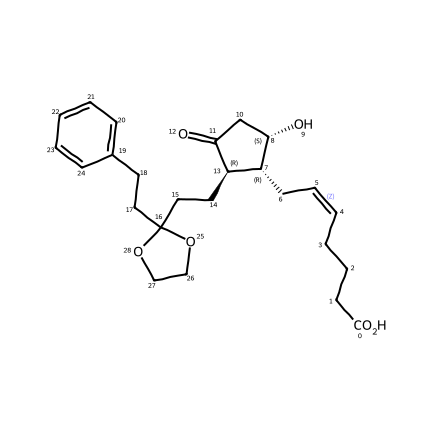 O=C(O)CCC/C=C\C[C@H]1[C@@H](O)CC(=O)[C@@H]1CCC1(CCc2ccccc2)OCCO1